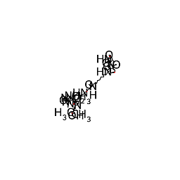 CCn1c(-c2nonc2N)nc2c(C#CC(C)(C)O)ncc(OCCCNCCCC(=O)NCCCCCCCCNc3cccc4c3C(=O)N(C3CCC(=O)NC3=O)C4=O)c21